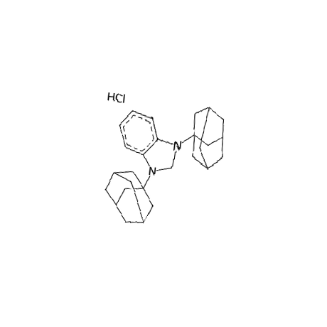 Cl.c1ccc2c(c1)N(C13CC4CC(CC(C4)C1)C3)CN2C12CC3CC(CC(C3)C1)C2